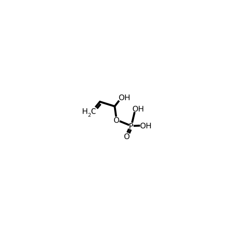 C=CC(O)OP(=O)(O)O